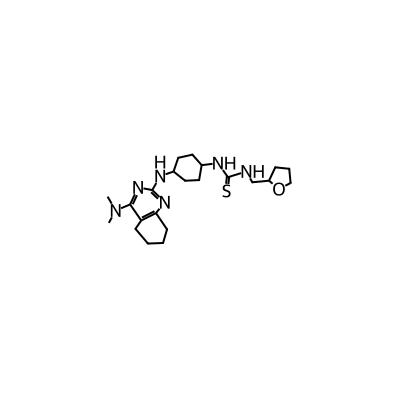 CN(C)c1nc(NC2CCC(NC(=S)NCC3CCCO3)CC2)nc2c1CCCC2